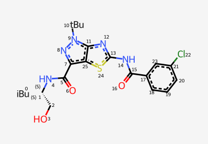 CC[C@H](C)[C@@H](CO)NC(=O)c1nn(C(C)(C)C)c2nc(NC(=O)c3cccc(Cl)c3)sc12